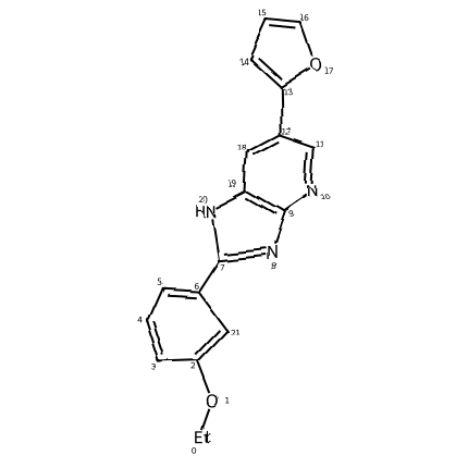 CCOc1cccc(-c2nc3ncc(-c4ccco4)cc3[nH]2)c1